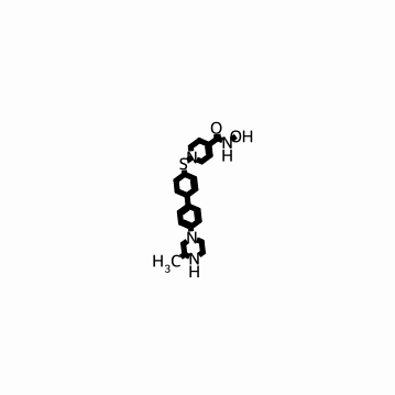 CC1CN(c2ccc(C3C=CC(SN4CC=C(C(=O)NO)CC4)CC3)cc2)CCN1